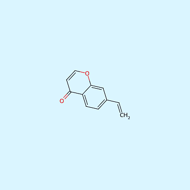 C=Cc1ccc2c(=O)ccoc2c1